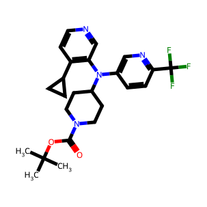 CC(C)(C)OC(=O)N1CCC(N(c2ccc(C(F)(F)F)nc2)c2cnccc2C2CC2)CC1